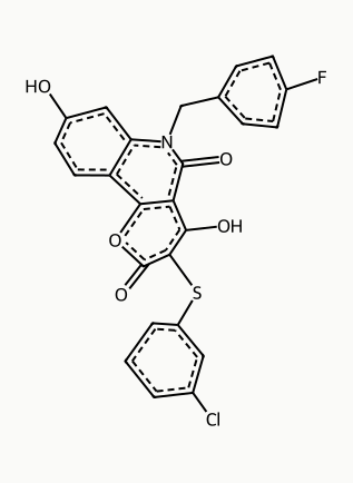 O=c1oc2c(c(O)c1Sc1cccc(Cl)c1)c(=O)n(Cc1ccc(F)cc1)c1cc(O)ccc21